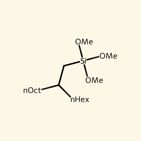 CCCCCCCCC(CCCCCC)C[Si](OC)(OC)OC